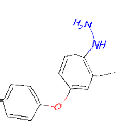 Cc1cc(Oc2ccccc2)ccc1NN